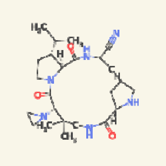 CC(C)[C@H]1CCN2C(=O)[C@@H](N3CC3)C(C)(C)CNC(=O)[C@@H]3C[C@H](CN3)CC(C#N)NC(=O)[C@H]12